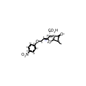 CC1C(=O)N2C1O/C(=C\COc1ccc([N+](=O)[O-])cc1)[C@@H]2C(=O)O